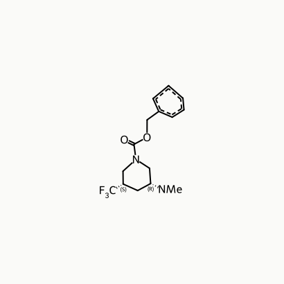 CN[C@@H]1C[C@H](C(F)(F)F)CN(C(=O)OCc2ccccc2)C1